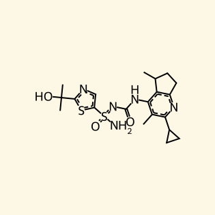 Cc1c(C2CC2)nc2c(c1NC(=O)N=S(N)(=O)c1cnc(C(C)(C)O)s1)C(C)CC2